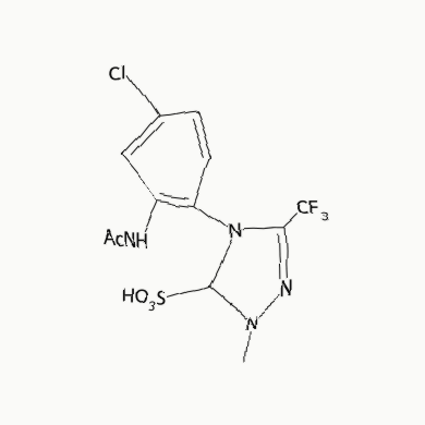 CC(=O)Nc1cc(Cl)ccc1N1C(C(F)(F)F)=NN(C)C1S(=O)(=O)O